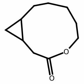 O=C1CC2CC2CCCCCO1